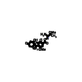 COc1cc(C(=O)O/N=C(\N)C(C)OC)c(Cl)c2c1C(=O)[C@@]1(O2)C(O)=CC(=O)C[C@H]1C